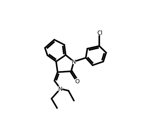 CCN(/C=C1\C(=O)N(c2cccc(Cl)c2)c2ccccc21)CC